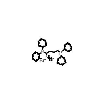 [Br][Ni]([Br])[CH](CCCP(c1ccccc1)c1ccccc1)P(c1ccccc1)c1ccccc1